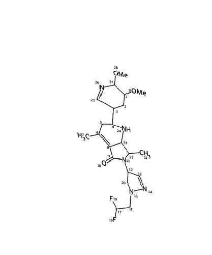 COC1CC(C2CC(C)=C3C(=O)N(C4C=NN(CC(F)F)C4)C(C)C3N2)C=NC1OC